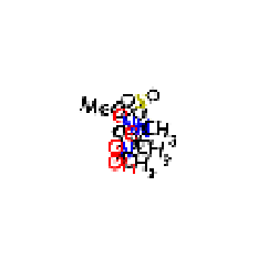 COc1ccccc1CC(=O)Nc1cccc2c1O[C@H](CN(C)Cc1ccc(Sc3ccccc3)cc1)[C@H](C)CN(C(C)CO)C2=O